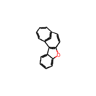 C1=C2C=CC=CC=1c1c(oc3ccccc13)C=C2